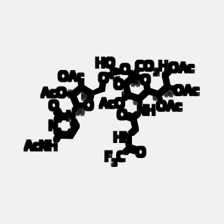 CC(=O)Nc1ccn([C@@H]2O[C@H](COP(=O)(O)O[C@@]3(C(=O)O)C[C@H](OC(C)=O)[C@@H](NC(=O)CNC(=O)C(F)(F)F)C([C@H](OC(C)=O)[C@@H](COC(C)=O)OC(C)=O)O3)C(OC(C)=O)[C@@H]2OC(C)=O)c(=O)n1